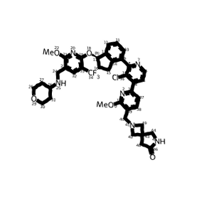 COc1nc(-c2ccnc(-c3cccc4c3CC[C@H]4Oc3nc(OC)c(CNC4CCOCC4)cc3C(F)(F)F)c2Cl)ccc1CN1CC2(CNC(=O)C2)C1